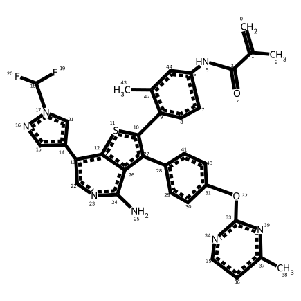 C=C(C)C(=O)Nc1ccc(-c2sc3c(-c4cnn(C(F)F)c4)cnc(N)c3c2-c2ccc(Oc3nccc(C)n3)cc2)c(C)c1